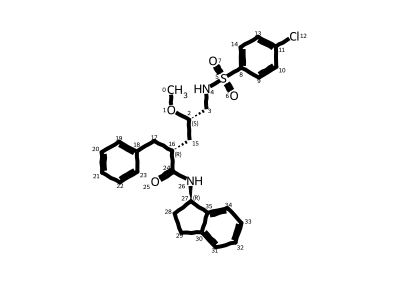 CO[C@H](CNS(=O)(=O)c1ccc(Cl)cc1)C[C@@H](Cc1ccccc1)C(=O)N[C@@H]1CCc2ccccc21